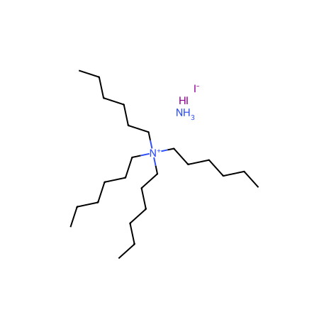 CCCCCC[N+](CCCCCC)(CCCCCC)CCCCCC.I.N.[I-]